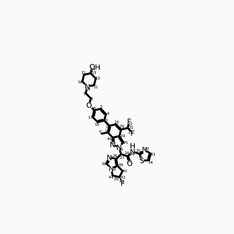 Cc1c(-c2ccc(OCCN3CCC(O)CC3)cc2)cc(C(F)F)c2cn(C(C(=O)Nc3nccs3)c3ncn4c3C[C@@H](F)C4)nc12